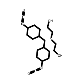 O=C=NC1CCC(CC2CCC(N=C=O)CC2)CC1.OCCSCCO